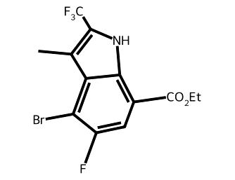 CCOC(=O)c1cc(F)c(Br)c2c(C)c(C(F)(F)F)[nH]c12